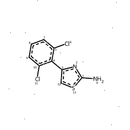 Nc1nc(-c2c(Cl)cccc2Cl)cs1